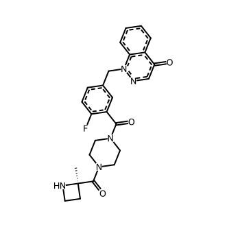 C[C@]1(C(=O)N2CCN(C(=O)c3cc(Cn4ncc(=O)c5ccccc54)ccc3F)CC2)CCN1